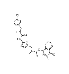 CN(Cc1csc(NC(=O)NCc2ccc(Cl)s2)n1)C(=O)Oc1nn(C)c(=O)c2ccccc12